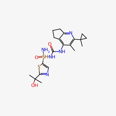 Cc1c(C2(C)CC2)nc2c(c1NC(=O)N[SH](N)(=O)c1cnc(C(C)(C)O)s1)CCC2